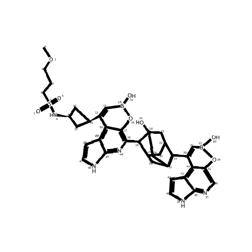 COCCCS(=O)(=O)N[C@H]1C[C@@H](C2=CB(O)Oc3c(C4C5CC6CC4(O)CC(C5)C6C4=CB(O)Oc5cnc6[nH]ccc6c54)nc4[nH]ccc4c32)C1